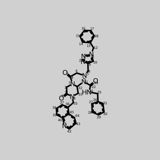 O=C1CN2C(=O)CN(Cc3cn(Cc4ccccc4)nn3)N(C(=O)NCc3ccccc3)C2CN1Cc1cccc2ncccc12